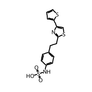 O=S(=O)(O)Nc1ccc(CCc2nc(-c3cccs3)cs2)cc1